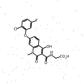 Cn1c(=O)c(C(=O)NCC(=O)O)c(O)c2ccc(Oc3cc(F)ccc3Cl)cc21